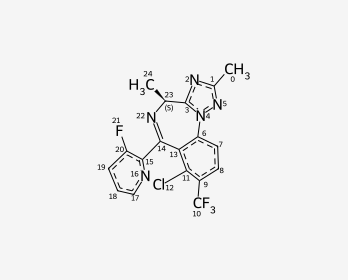 Cc1nc2n(n1)-c1ccc(C(F)(F)F)c(Cl)c1C(c1ncccc1F)=N[C@H]2C